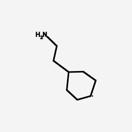 NCCC1CC[CH]CC1